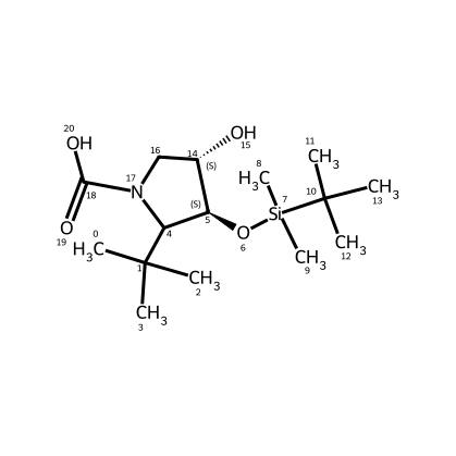 CC(C)(C)C1[C@H](O[Si](C)(C)C(C)(C)C)[C@@H](O)CN1C(=O)O